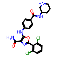 NC(=O)c1nc(-c2c(Cl)cccc2Cl)oc1Nc1ccc(C(=O)NC2CCCNC2)cc1